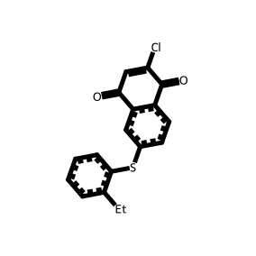 CCc1ccccc1Sc1ccc2c(c1)C(=O)C=C(Cl)C2=O